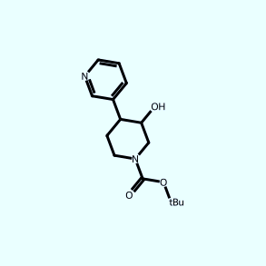 CC(C)(C)OC(=O)N1CCC(c2cccnc2)C(O)C1